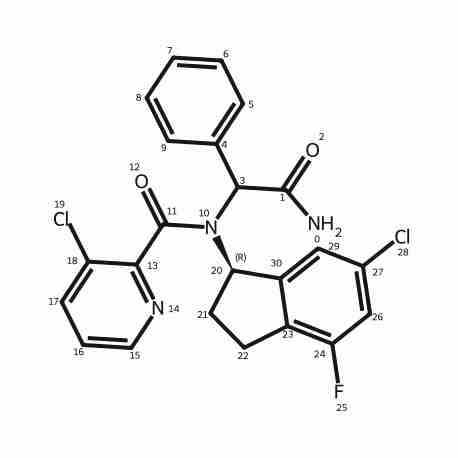 NC(=O)C(c1ccccc1)N(C(=O)c1ncccc1Cl)[C@@H]1CCc2c(F)cc(Cl)cc21